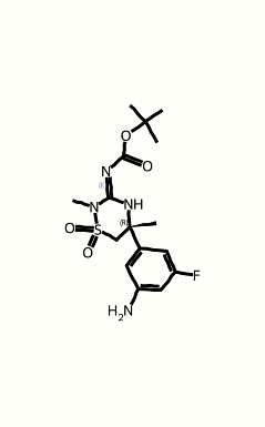 CN1/C(=N/C(=O)OC(C)(C)C)N[C@](C)(c2cc(N)cc(F)c2)CS1(=O)=O